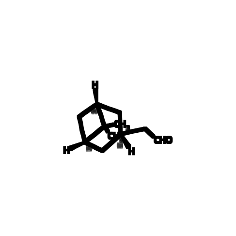 CC1(C)[C@@H]2C[C@@H](CC=O)C[C@H]1C2